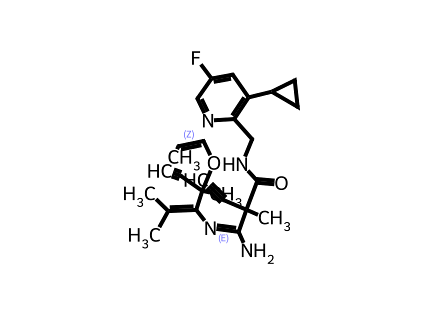 C#CC(C)(O/C=C\C)C(/N=C(/N)C(C)(C#C)C(=O)NCc1ncc(F)cc1C1CC1)=C(C)C